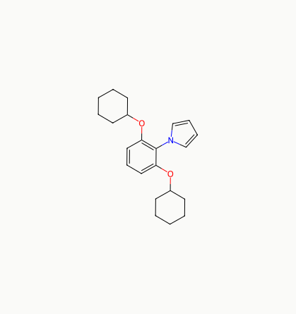 c1cc(OC2CCCCC2)c(-n2cccc2)c(OC2CCCCC2)c1